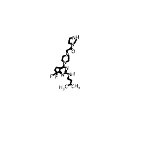 CC(C)CCNc1nc(N2CCN(CC(=O)N3CCNCC3)CC2)c2c(n1)C(F)(F)CC2